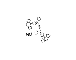 C1=Cc2ccccc2C(=C2CCN(C(CCSCCC(C3CCCCC3)N3CCC(=C4c5ccccc5C=Cc5ccccc54)CC3)C3CCCCC3)CC2)c2ccccc21.Cl